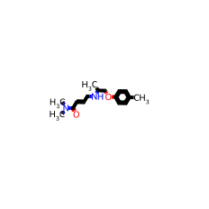 Cc1ccc(OCC(C)NC/C=C/C(=O)N(C)C)cc1